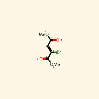 COC(=O)C=C(Br)C(=O)OC